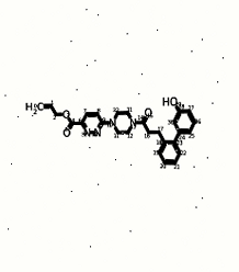 C=CCOC(=O)c1ccc(N2CCN(C(=O)CCc3ccccc3-c3cccc(O)c3)CC2)nn1